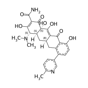 Cc1ccc(-c2ccc(O)c3c2C[C@H]2C[C@H]4[C@H](N(C)C)C(O)=C(C(N)=O)C(=O)[C@@]4(O)C(O)=C2C3=O)cn1